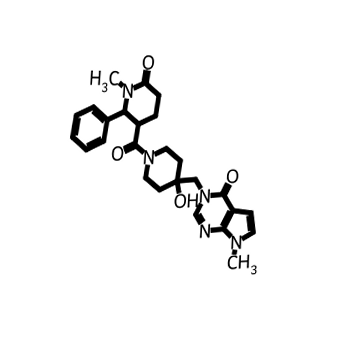 CN1C(=O)CCC(C(=O)N2CCC(O)(Cn3cnc4c(ccn4C)c3=O)CC2)C1c1ccccc1